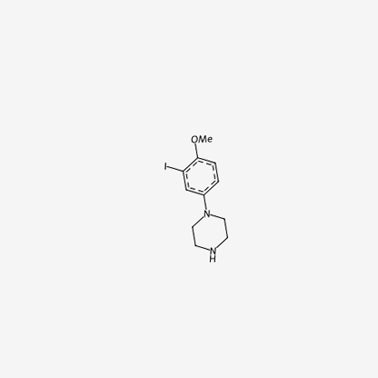 COc1ccc(N2CCNCC2)cc1I